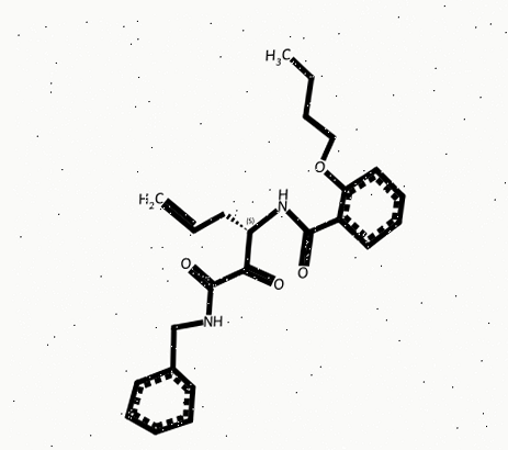 C=CC[C@H](NC(=O)c1ccccc1OCCCC)C(=O)C(=O)NCc1ccccc1